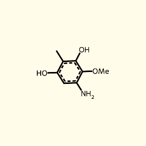 COc1c(N)cc(O)c(C)c1O